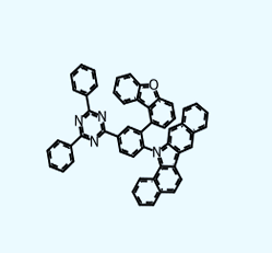 c1ccc(-c2nc(-c3ccccc3)nc(-c3ccc(-n4c5cc6ccccc6cc5c5ccc6ccccc6c54)c(-c4cccc5oc6ccccc6c45)c3)n2)cc1